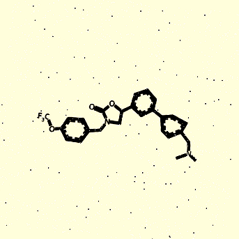 CN(C)Cc1ccc(-c2cccc(C3CN(Cc4ccc(OC(F)(F)F)cc4)C(=O)O3)c2)cc1